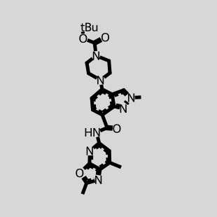 Cc1nc2c(C)cc(NC(=O)c3ccc(N4CCN(C(=O)OC(C)(C)C)CC4)c4cn(C)nc34)nc2o1